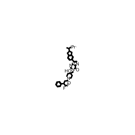 C[C](C)C(C)C1Cc2ccc(-c3cnc4c(=O)n(CC5(O)CCN(C(=O)CC(c6ccccc6)C(F)F)CC5)cnn34)cc2C1